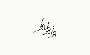 CCCCCC(=O)OC(=O)CCCCC.CCCCCC(=O)OC(=O)CCCCC.CCCCCCCC(=O)OC(=O)CCCCCCC